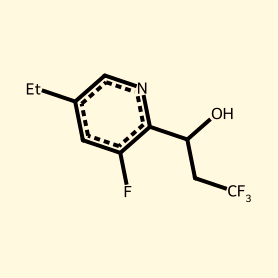 CCc1cnc(C(O)CC(F)(F)F)c(F)c1